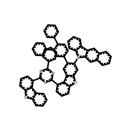 c1ccc(-c2nc(-c3cccc4oc5ccccc5c34)nc(-c3cccc4oc5cc(-n6c7ccccc7c7cc8ccccc8cc76)c(-c6ccc(-c7ccccc7)c(-c7ccccc7)c6)cc5c34)n2)cc1